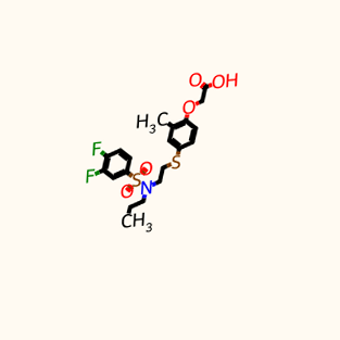 CCCN(CCSc1ccc(OCC(=O)O)c(C)c1)S(=O)(=O)c1ccc(F)c(F)c1